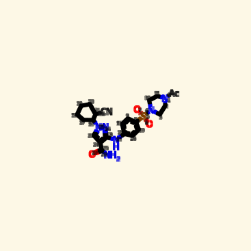 CC(=O)N1CCN(S(=O)(=O)c2ccc(Nc3nn(C4CCCCC4C#N)cc3C(N)=O)cc2)CC1